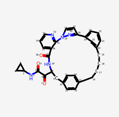 O=C(NC1CC1)C(=O)C1Cc2ccc(cc2)CCCCc2cccc(c2)-c2ccn(n2)-c2ncccc2C(=O)N1